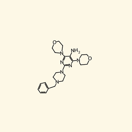 Nc1c(N2CCOCC2)nc(N2CCN(Cc3ccccc3)CC2)nc1N1CCOCC1